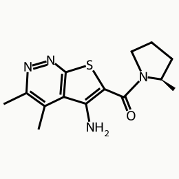 Cc1nnc2sc(C(=O)N3CCC[C@H]3C)c(N)c2c1C